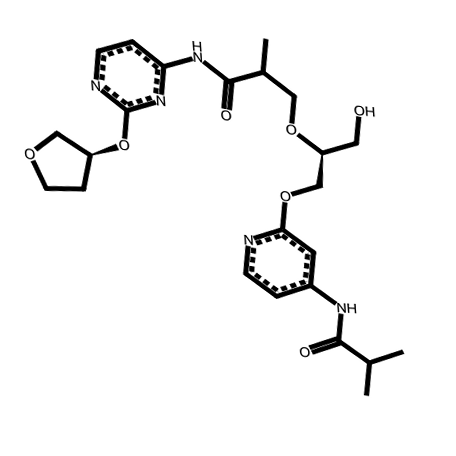 CC(C)C(=O)Nc1ccnc(OC[C@H](CO)OCC(C)C(=O)Nc2ccnc(O[C@H]3CCOC3)n2)c1